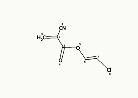 C=C(C#N)C(=O)OC=CCl